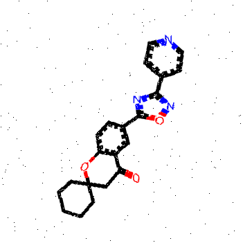 O=C1CC2(CCCCC2)Oc2ccc(-c3nc(-c4ccncc4)no3)cc21